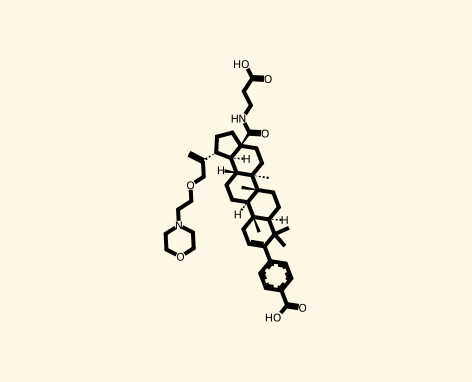 C=C(COCCN1CCOCC1)[C@@H]1CC[C@]2(C(=O)NCCC(=O)O)CC[C@]3(C)[C@H](CC[C@@H]4[C@@]5(C)CC=C(c6ccc(C(=O)O)cc6)C(C)(C)[C@@H]5CC[C@]43C)[C@@H]12